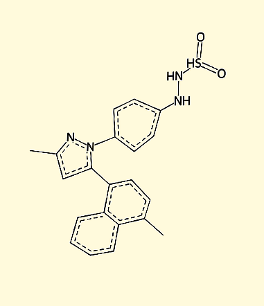 Cc1cc(-c2ccc(C)c3ccccc23)n(-c2ccc(NN[SH](=O)=O)cc2)n1